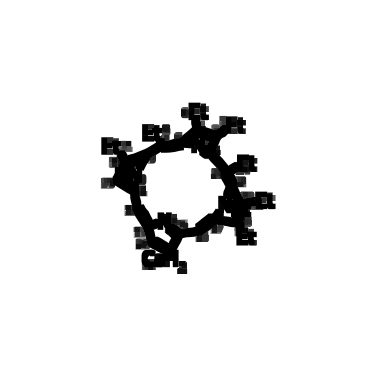 CCC1=C(CC)c2nc1c(CC)c1[nH]c(cc3nc(cc4c(CC)c(CC)c(c2CC)n4CC)C=C3)cc1CC.[CaH2]